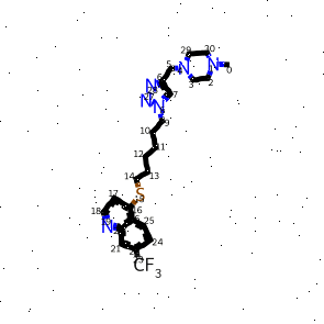 CN1CCN(Cc2cn(CCCCCCSc3ccnc4cc(C(F)(F)F)ccc34)nn2)CC1